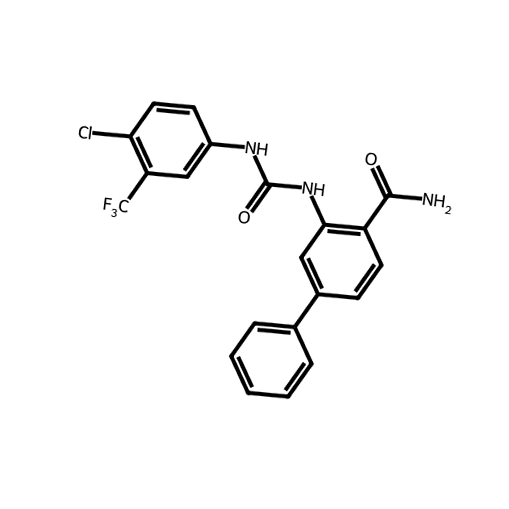 NC(=O)c1ccc(-c2ccccc2)cc1NC(=O)Nc1ccc(Cl)c(C(F)(F)F)c1